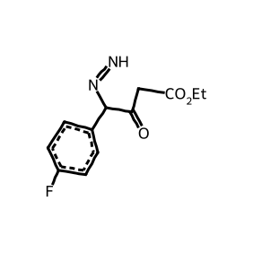 CCOC(=O)CC(=O)C(N=N)c1ccc(F)cc1